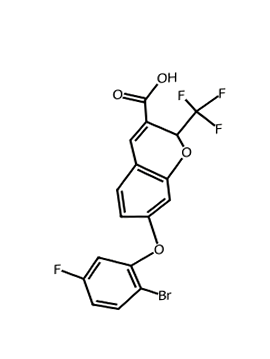 O=C(O)C1=Cc2ccc(Oc3cc(F)ccc3Br)cc2OC1C(F)(F)F